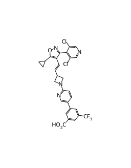 O=C(O)c1cc(-c2ccc(N3CC(/C=C/c4c(-c5c(Cl)cncc5Cl)noc4C4CC4)C3)nc2)cc(C(F)(F)F)c1